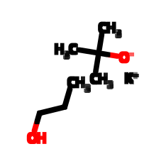 CC(C)(C)[O-].CCCO.[K+]